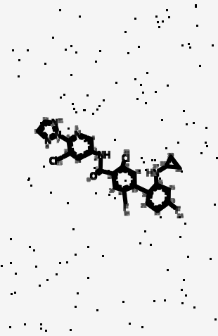 O=C(Nc1cnc(-n2nccn2)c(Cl)c1)c1cc(F)c(-c2ccc(F)cc2NC2CC2)cc1Cl